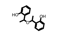 CC(OC(C)c1ccccc1O)c1ccccc1O